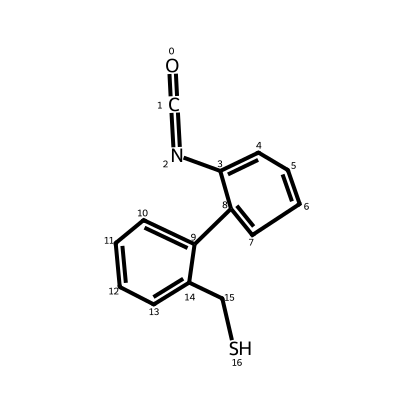 O=C=Nc1ccccc1-c1ccccc1CS